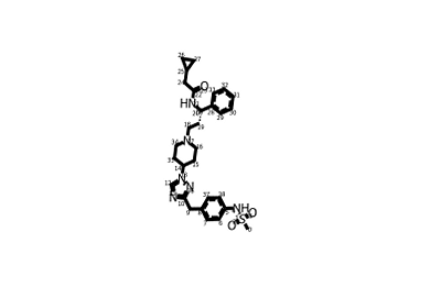 CS(=O)(=O)Nc1ccc(Cc2ncn(C3CCN(CC[C@H](NC(=O)CC4CC4)c4ccccc4)CC3)n2)cc1